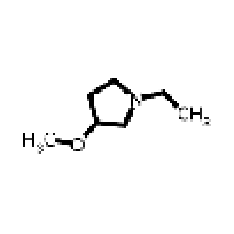 CCN1CCC(OC)C1